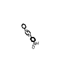 O=CNc1ccc(N2CCN(C3CCCCC3)CC2)cc1